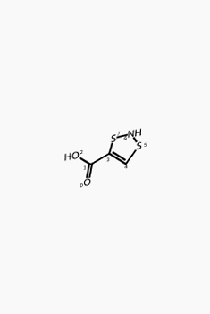 O=C(O)C1=CSNS1